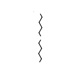 COCCCCOCCCC[S]